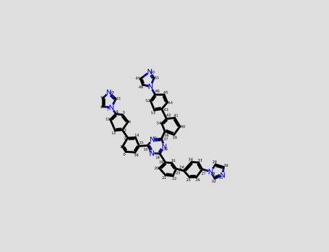 c1cc(-c2ccc(-n3ccnc3)cc2)cc(-c2nc(-c3cccc(-c4ccc(-n5ccnc5)cc4)c3)nc(-c3cccc(-c4ccc(-n5ccnc5)cc4)c3)n2)c1